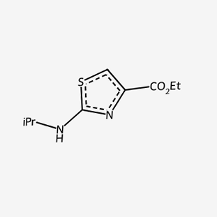 CCOC(=O)c1csc(NC(C)C)n1